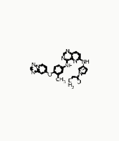 C=CC(=O)N1CC[C@H](Nc2ccc3ncnc(Nc4ccc(Oc5ccn6ncnc6c5)c(C)c4)c3n2)C1